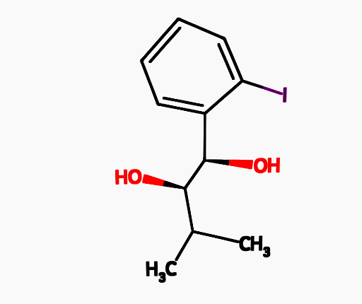 CC(C)[C@@H](O)[C@H](O)c1ccccc1I